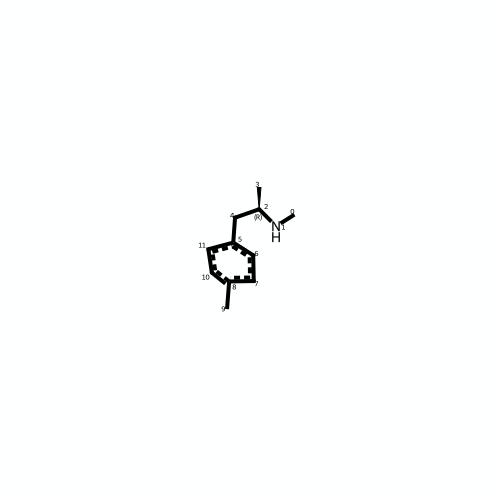 CN[C@H](C)Cc1ccc(C)cc1